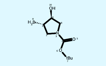 B[C@H]1CN(C(=O)OC(C)(C)C)C[C@@H]1O